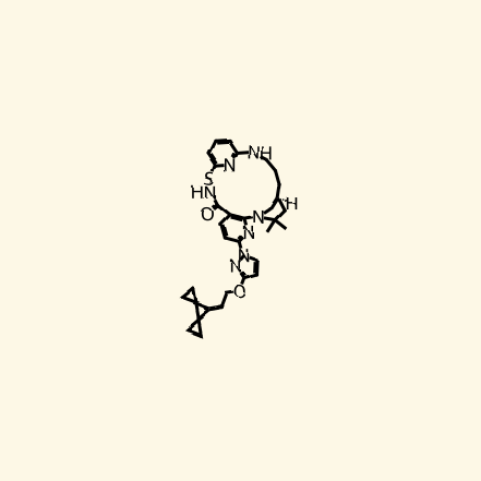 CC1(C)C[C@@H]2CCCNc3cccc(n3)SNC(=O)c3ccc(-n4ccc(OCCC5C6(CC6)C56CC6)n4)nc3N1C2